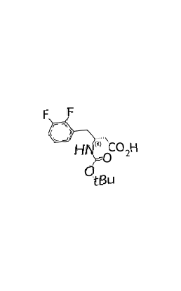 CC(C)(C)OC(=O)N[C@@H](CC(=O)O)Cc1cccc(F)c1F